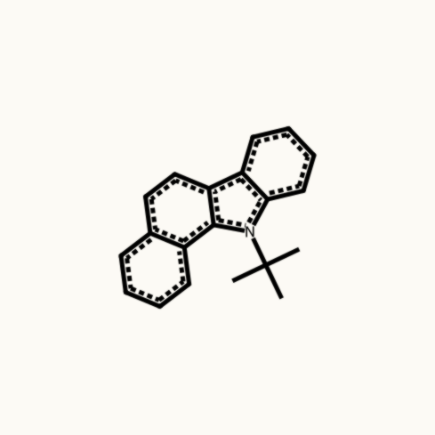 CC(C)(C)n1c2ccccc2c2ccc3ccccc3c21